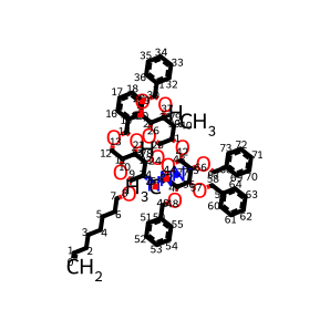 C=CCCCCCCO[C@@H]1OC2COC(c3ccccc3)O[C@H]2[C@H](O[C@@H]2OC3COC(c4ccccc4)O[C@@H]3[C@H](C)C2O[C@@H]2OC(C)[C@@H](OCc3ccccc3)[C@H](OCc3ccccc3)C2OCc2ccccc2)C1N=[N+]=[N-]